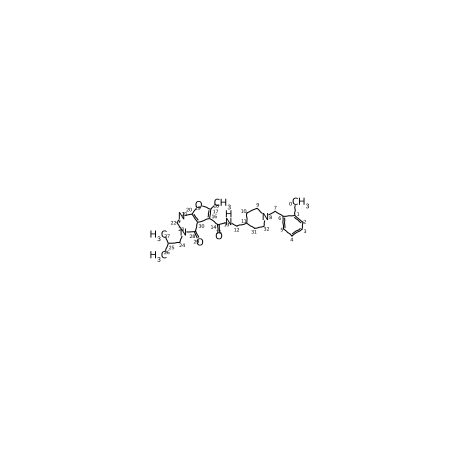 Cc1ccccc1CN1CCC(CNC(=O)c2c(C)oc3ncn(CC(C)C)c(=O)c23)CC1